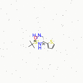 CC(C)(C)[S@+]([O-])N[C@H](CN)c1cccs1